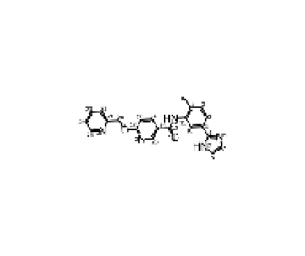 Cc1ccc(-c2ncc[nH]2)cc1NC(=O)c1ccc(OCc2ccccn2)nc1